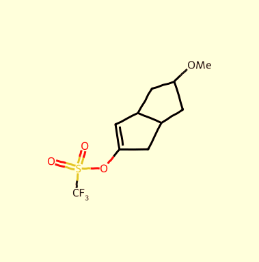 COC1CC2C=C(OS(=O)(=O)C(F)(F)F)CC2C1